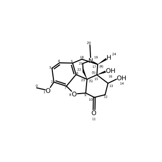 COc1ccc2c3c1OC1C(=O)CC(O)[C@@]4(O)[C@@H](C2)N(C)CC[C@]314